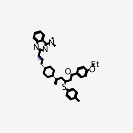 C=C(CC(CC(=O)c1ccc(OCC)cc1)Sc1ccc(C)cc1)[C@H]1CC[C@@H](C/C=C/c2nc(N(C)C)c3ccccc3n2)CC1